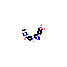 CC(C)N1CCN(C(=O)c2ccc(Nc3ccc(-c4ccc5c(c4)CNC5=O)n4ccnc34)cc2F)CC1